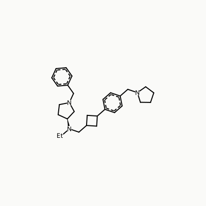 CCN(CC1CC(c2ccc(CN3CCCC3)cc2)C1)[C@H]1CCN(Cc2ccccc2)C1